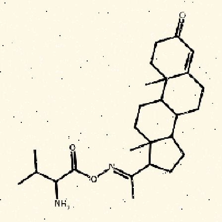 CC(=NOC(=O)C(N)C(C)C)C1CCC2C3CCC4=CC(=O)CCC4(C)C3CCC12C